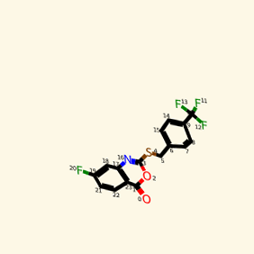 O=c1oc(SCc2ccc(C(F)(F)F)cc2)nc2cc(F)ccc12